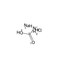 Cl.NC(=O)O.[NaH]